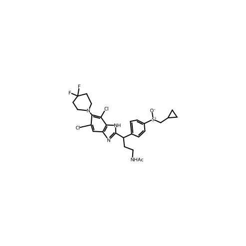 CC(=O)NCCC(c1ccc([S+]([O-])CC2CC2)cc1)c1nc2cc(Cl)c(N3CCC(F)(F)CC3)c(Cl)c2[nH]1